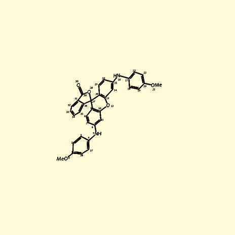 COc1ccc(Nc2ccc3c(c2)Oc2cc(Nc4ccc(OC)cc4)ccc2C32OC(=O)c3ccccc32)cc1